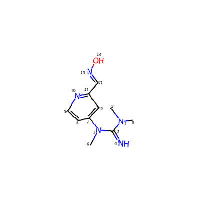 CN(C)C(=N)N(C)c1ccnc(/C=N/O)c1